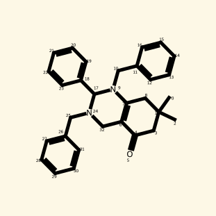 CC1(C)CC(=O)C2=C(C1)N(Cc1ccccc1)C(c1ccccc1)N(Cc1ccccc1)C2